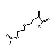 C=C(CCOCCOC(C)=O)C(=O)O